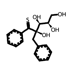 OC[C@@H](O)[C@H](O)[C@](O)(Cc1ccccc1)C(=S)c1ccccc1